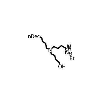 CCCCCCCCCCCCCCN(CCCCO)CCC[PH](=O)OOCC